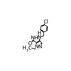 CCn1ncc(NCc2ccc(Cl)cc2)c1C(N)=O